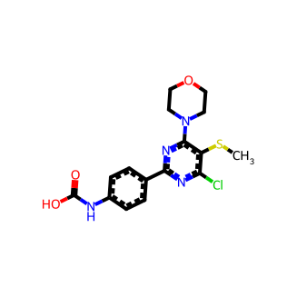 CSc1c(Cl)nc(-c2ccc(NC(=O)O)cc2)nc1N1CCOCC1